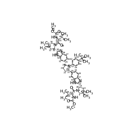 COC(=O)N[C@H](C(=O)N1C[Si](C)(C)C[C@H]1c1nc2ccc([C@H]3CC[C@H](c4ccc5nc([C@@H]6C[Si](C)(C)CN6C(=O)[C@@H](NC(=O)OC)C(C)C)[nH]c5c4)N3c3ccc(C(C)(C)C)cc3)cc2[nH]1)C(C)C